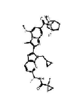 COc1cc(C(=O)N2C3CC[C@H]2C[C@H]3N)cc2nc(-c3cc4ccc([C@@H](C)NC(=O)C5(F)CC5)nc4n3CC3CC3)c(C)n12